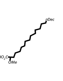 CCCCCCCCCCCCCCCCCCCCCCCC(OC)C(=O)O